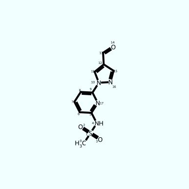 CS(=O)(=O)Nc1cccc(-n2cc(C=O)cn2)n1